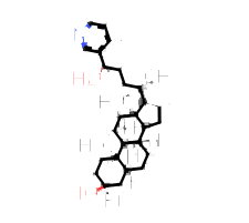 CC[C@]1(O)CC[C@@]2(C)[C@@H](CC[C@@H]3[C@@H]2CC[C@]2(C)[C@@H]([C@H](C)CC[C@H](O)c4cccnc4)CC[C@@H]32)C1